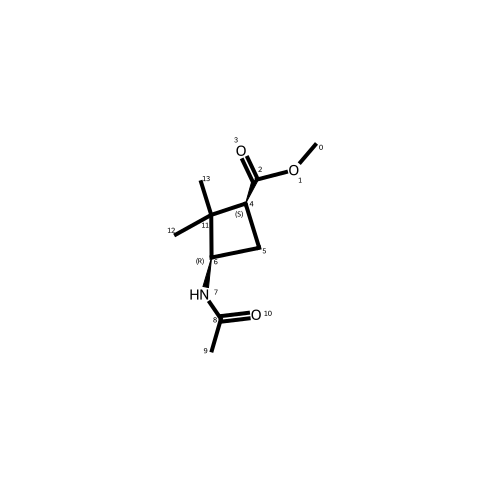 COC(=O)[C@H]1C[C@@H](NC(C)=O)C1(C)C